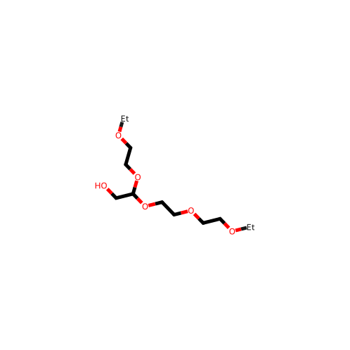 CCOCCOCCOC(CO)OCCOCC